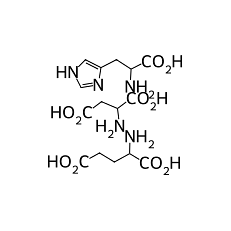 NC(CC(=O)O)C(=O)O.NC(CCC(=O)O)C(=O)O.NC(Cc1c[nH]cn1)C(=O)O